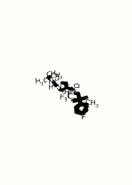 CCC(CC)(CNC(=O)C1CCN(CC(=O)NC(C)(C)C)CC1)c1ccc(F)cc1